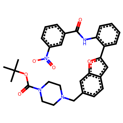 CC(C)(C)OC(=O)N1CCN(Cc2ccc3cc(-c4ccccc4NC(=O)c4cccc([N+](=O)[O-])c4)oc3c2)CC1